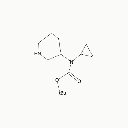 CC(C)(C)OC(=O)N(C1CC1)C1CCCNC1